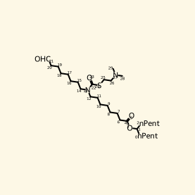 CCCCCC(CCCCC)OC(=O)CCCCCCCN(CCCCCCCC=O)C(=O)SCCN(C)C